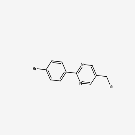 BrCc1cnc(-c2ccc(Br)cc2)nc1